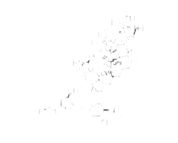 C=C1C[C@H](CCC=O)O[C@H]1CC[C@H]1C[C@@H](C)C(=C)[C@@H](C[C@@H]2O[C@H](C[C@H]3CNC(=O)O3)[C@H](OC)[C@H]2CC(=O)CC2CCC3O[C@@H]([C@H](/C=C/I)O[Si](C)(C)C(C)(C)C)C(O[Si](C)(C)C(C)(C)C)C(O[Si](C)(C)C(C)(C)C)[C@H]3O2)O1